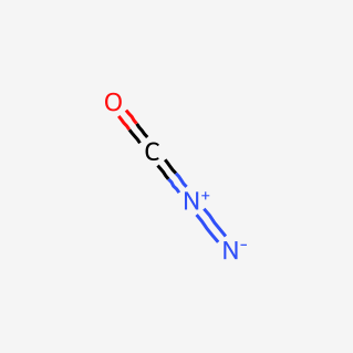 [N-]=[N+]=C=O